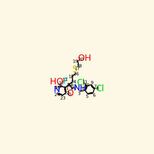 O=C(NCc1ccc(Cl)cc1Cl)[C@](F)(CCCSCCO)c1cccnc1O